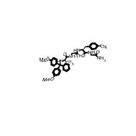 COc1ccc(C(N[C@H](C)C(=O)NCC(=O)N[C@@H](Cc2ccc(C#N)cc2)C(=O)NCC(N)=O)(c2ccccc2)c2ccc(OC)cc2)cc1